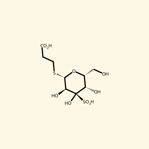 O=C(O)CCS[C@@H]1O[C@H](CO)[C@H](O)[C@@](O)(S(=O)(=O)O)[C@H]1O